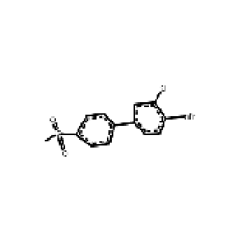 CCCc1ccc(-c2ccc(S(C)(=O)=O)cc2)cc1Cl